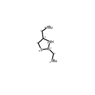 CC(C)(C)CB1NC(CC(C)(C)C)CS1